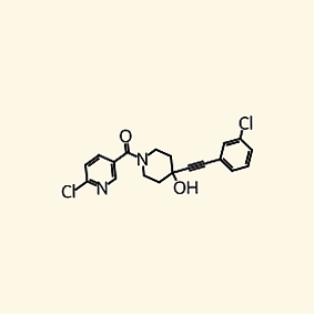 O=C(c1ccc(Cl)nc1)N1CCC(O)(C#Cc2cccc(Cl)c2)CC1